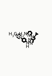 CN1CCN(c2ccc(Nc3ncc4cc(C5CC5)n(-c5cccc(N)n5)c4n3)cc2)CC1